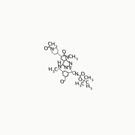 CC(=O)N1CCC(c2cc3c(NC(C)c4cc(C=O)cc(C5(F)CN(C(=O)OC(C)(C)C)C5)c4)ncnc3n(C)c2=O)CC1